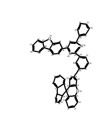 C1=CC2c3ccccc3C3(c4ccccc4Oc4cc(-c5cccc(-c6nc(-c7ccccc7)cc(-c7ccc8c(c7)oc7ccccc78)n6)c5)ccc43)C2C=C1